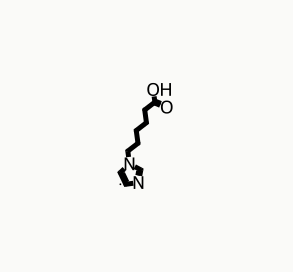 O=C(O)CCCCCn1c[c]nc1